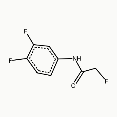 O=C(CF)Nc1ccc(F)c(F)c1